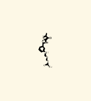 CCC(C)C(=O)OCOCNc1cccc(-c2nn3nc(C)c(Cl)c3[nH]2)c1